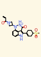 C=CC(=O)N1CC(N(C)c2cccc3[nH]c(C4=CCC(S(C)(=O)=O)CC4)c(C(N)=O)c23)C1